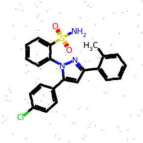 Cc1ccccc1-c1cc(-c2ccc(Cl)cc2)n(-c2ccccc2S(N)(=O)=O)n1